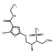 COCN([C@@H](C)COc1cc(C(=O)NCC(F)(F)F)c(Cl)s1)S(=O)(=O)C(F)(F)F